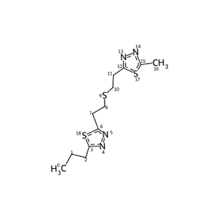 CCCc1nnc(CCSCCc2nnc(C)s2)s1